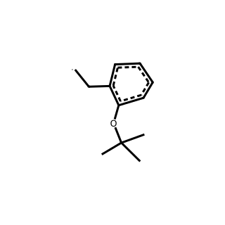 [CH2]Cc1ccccc1OC(C)(C)C